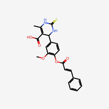 COc1cc(C2NC(=S)NC(C)=C2C(=O)O)ccc1OC(=O)C=Cc1ccccc1